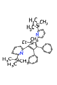 CC[Si]1(C)C(c2cccc([Si](C)(C)C)n2)=C(c2ccccc2)C(c2ccccc2)=C1c1cccc([Si](C)(C)C)n1